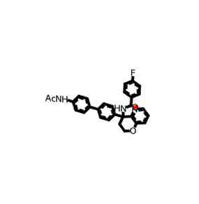 CC(=O)Nc1ccc(-c2ccc(C3(NC(=O)c4ccc(F)cc4)CCOc4cccnc43)cc2)cc1